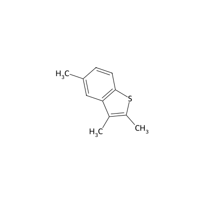 Cc1ccc2sc(C)c(C)c2c1